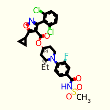 CC[C@@H]1C[C@H](OC(=O)c2c(-c3c(Cl)cccc3Cl)noc2C2CC2)CCN1c1ccc(C(=O)NS(C)(=O)=O)cc1F